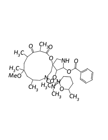 COC1(C)CC(C)CN(C(=O)O)CC2(CNC(OC(=O)c3ccccc3)C2OC2(N(C)C)CCCC(C)O2)OC(=O)C(C)C(=O)C(C)C1